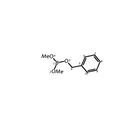 COB(OC)OCc1ccccc1